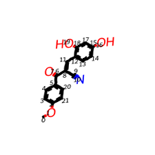 COc1ccc(C(=O)C(C#N)=Cc2ccc(O)cc2O)cc1